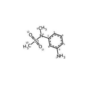 CN(c1cccc(N)c1)S(C)(=O)=O